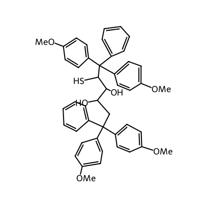 COc1ccc(C(CC(O)C(O)C(S)C(c2ccccc2)(c2ccc(OC)cc2)c2ccc(OC)cc2)(c2ccccc2)c2ccc(OC)cc2)cc1